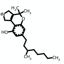 CCCCCC(C)CCc1cc(O)c2c(c1)OC(C)(C)C1=C2CNC1